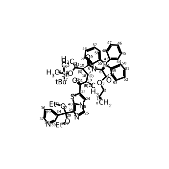 C=CCOC(=O)C(N1C(=O)[C@H]([C@@H](C)O[Si](C)(C)C(C)(C)C)[C@H]1[C@@H](C)C(=O)c1cn2cnc(C(OCC)(OCC)c3cccnc3)c2s1)=P(c1ccccc1)(c1ccccc1)c1ccccc1